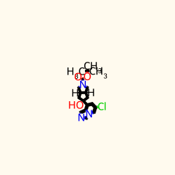 CC(C)(C)OC(=O)N1C[C@H]2CC(O)(c3cc(Cl)cn4cncc34)C[C@@H]2C1